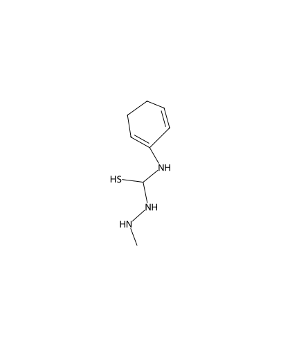 CNNC(S)NC1=CCCC=C1